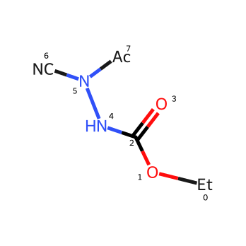 CCOC(=O)NN(C#N)C(C)=O